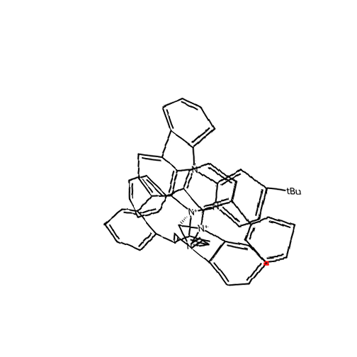 CC(C)(C)c1cc[n+]2c(c1)-n1c3ccccc3c3ccc4c(c31)[N@+]21c2c(cccc2[N+]23c5ccccc5[N+]2(c2c(-c5ccccc5)cccc2-c2ccccc2)C31)-c1ccccc1-4